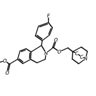 COC(=O)c1ccc2c(c1)CCN(C(=O)OCC13CCN(CC1)CC3)C2c1ccc(F)cc1